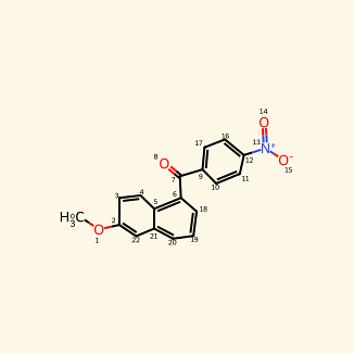 COc1ccc2c(C(=O)c3ccc([N+](=O)[O-])cc3)cccc2c1